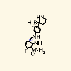 BC1(c2ccc(N/C=C3/C=CC(F)=C(C(N)=O)C3=N)cc2)CCCNC1